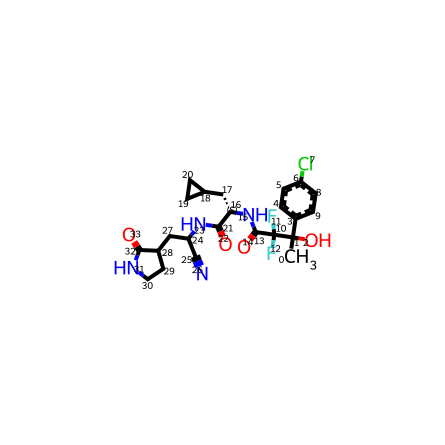 CC(O)(c1ccc(Cl)cc1)C(F)(F)C(=O)N[C@@H](CC1CC1)C(=O)NC(C#N)CC1CCNC1=O